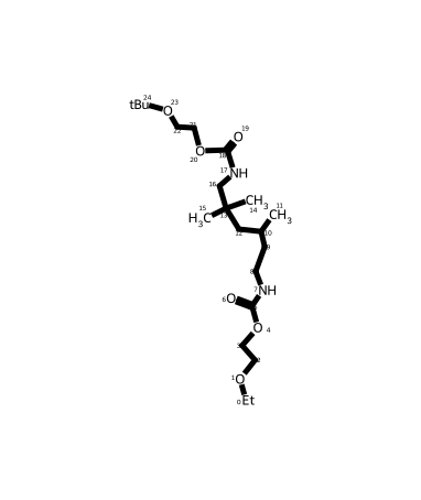 CCOCCOC(=O)NCCC(C)CC(C)(C)CNC(=O)OCCOC(C)(C)C